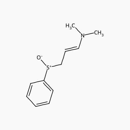 CN(C)C=CC[S+]([O-])c1ccccc1